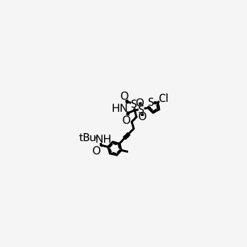 Cc1ccc(C(=O)NC(C)(C)C)cc1C#CCCCC1(S(=O)(=O)c2ccc(Cl)s2)SC(=O)NC1=O